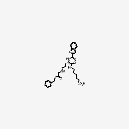 O=C(O)CCCCCNC(=O)[C@H](CCCNCC(=O)OCc1ccccc1)NC(=O)c1cc2ccccc2o1